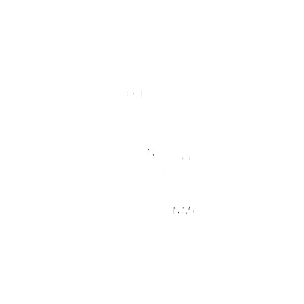 CNCC(=O)N1CCC[C@H](O)C1